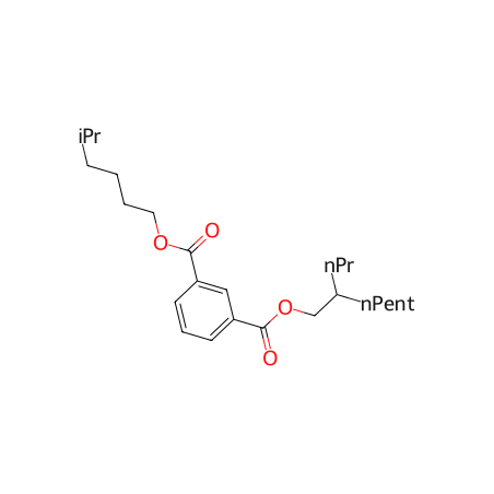 CCCCCC(CCC)COC(=O)c1cccc(C(=O)OCCCCC(C)C)c1